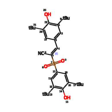 CC(C)(C)c1cc(/C=C(\C#N)S(=O)(=O)c2cc(C(C)(C)C)c(O)c(C(C)(C)C)c2)cc(C(C)(C)C)c1O